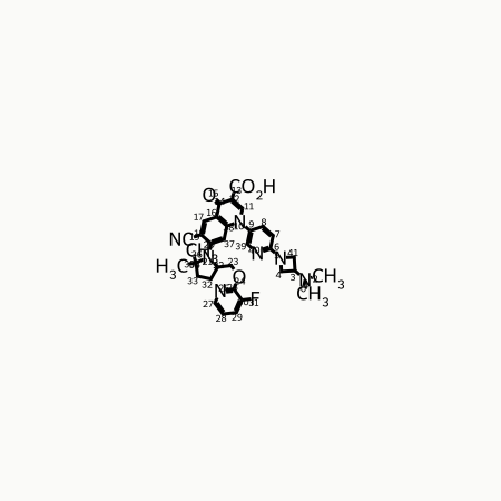 CN(C)C1CN(c2ccc(-n3cc(C(=O)O)c(=O)c4cc(C#N)c(N5C(COc6ncccc6F)CCC5(C)C)cc43)cn2)C1